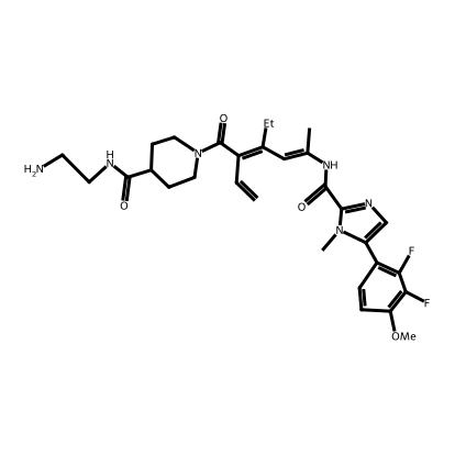 C=C/C(C(=O)N1CCC(C(=O)NCCN)CC1)=C(\C=C(/C)NC(=O)c1ncc(-c2ccc(OC)c(F)c2F)n1C)CC